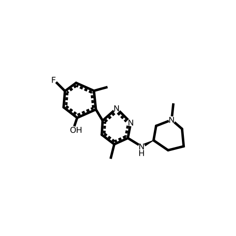 Cc1cc(-c2c(C)cc(F)cc2O)nnc1N[C@@H]1CCCN(C)C1